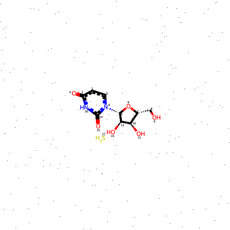 O=c1ccn([C@@H]2O[C@H](CO)[C@@H](O)[C@H]2O)c(=O)[nH]1.S